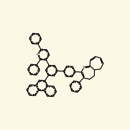 C1=CCC2CCC(c3ccccc3)=C(c3ccc(-c4cc(-c5ccc(-c6ccccc6)nc5-c5ccccc5)cc(-c5cc6ccccc6c6ccccc56)c4)cc3)N=C2C=C1